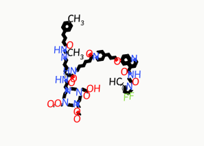 C#C[C@H]1CC(F)(F)CN1C(=O)CNC(=O)c1ccnc2ccc(OCCCC3CCN(C(=O)CCCCCNC(=O)[C@H](CCCC/N=C(\C)NC(=O)CCCc4ccc(C)cc4)NC(=O)CN4CCN(COC=O)CCN(COC=O)CCN(CC(=O)O)CC4)CC3)cc12